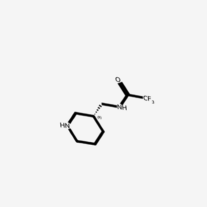 O=C(NC[C@@H]1CCCNC1)C(F)(F)F